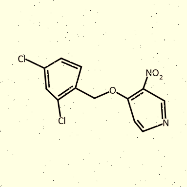 O=[N+]([O-])c1cnccc1OCc1ccc(Cl)cc1Cl